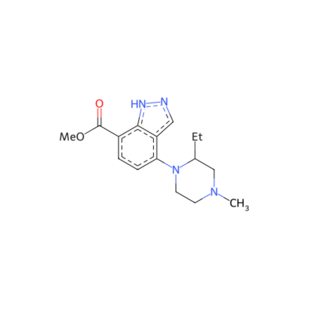 CCC1CN(C)CCN1c1ccc(C(=O)OC)c2[nH]ncc12